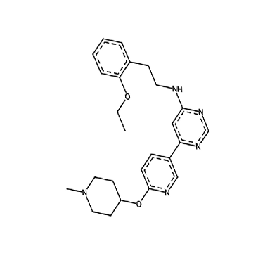 CCOc1ccccc1CCNc1cc(-c2ccc(OC3CCN(C)CC3)nc2)ncn1